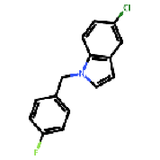 Fc1ccc(Cn2ccc3cc(Cl)ccc32)cc1